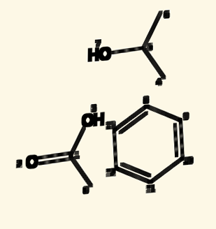 CC(=O)O.CC(C)O.c1ccccc1